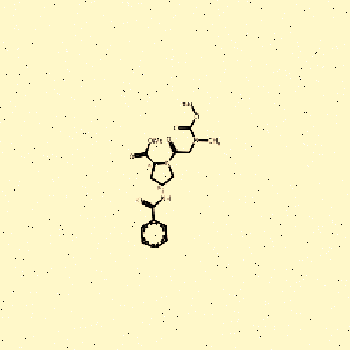 COC(=O)[C@@H]1C[C@@H](NC(=O)c2ccccc2)CN1C(=O)CN(C)C(=O)OC(C)(C)C